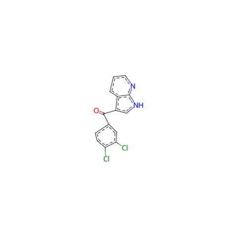 O=C(c1ccc(Cl)c(Cl)c1)c1c[nH]c2ncccc12